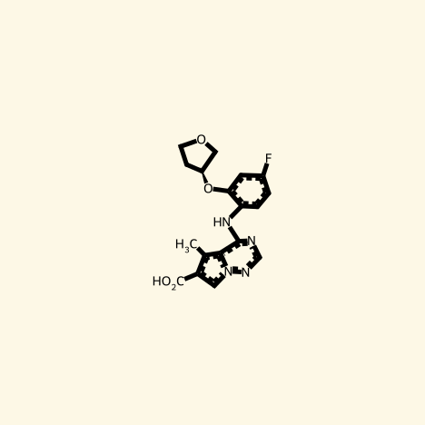 Cc1c(C(=O)O)cn2ncnc(Nc3ccc(F)cc3O[C@H]3CCOC3)c12